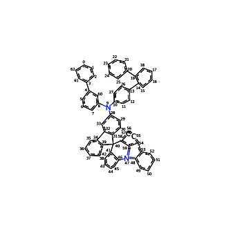 c1ccc(-c2cccc(N(c3ccc(-c4ccccc4-c4ccccc4)cc3)c3ccc4c(c3)-c3ccccc3C43c4ccccc4-n4c5ccccc5c5cccc3c54)c2)cc1